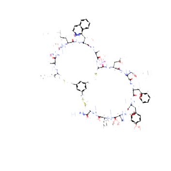 CNC1CSCc2cc3cc(c2)CSCC(NC(=O)C(C)NC(=O)C(Cc2cccc4ccccc24)NC(=O)C(CCC(=O)O)NC(=O)NC(=O)C(C)N1)C(=O)NC(CCC(=O)O)C(=O)NC(CC(=O)O)C(=O)NC(Cc1ccccc1)C(=O)NC(Cc1ccc(O)cc1)C(=O)NC(CC(=O)O)C(=O)NC(C(C)(C)C)C(=O)NC(C(N)=O)CSC3